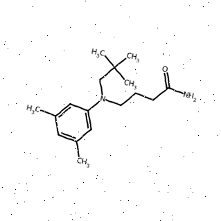 Cc1cc(C)cc(N(CCCC(N)=O)CC(C)(C)C)c1